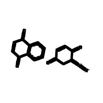 O=C1C=CC(=O)c2ccccc21.[N-]=[N+]=C1CC(=O)C=CC1=O